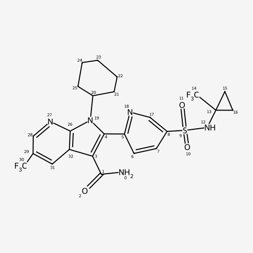 NC(=O)c1c(-c2ccc(S(=O)(=O)NC3(C(F)(F)F)CC3)cn2)n(C2CCCCC2)c2ncc(C(F)(F)F)cc12